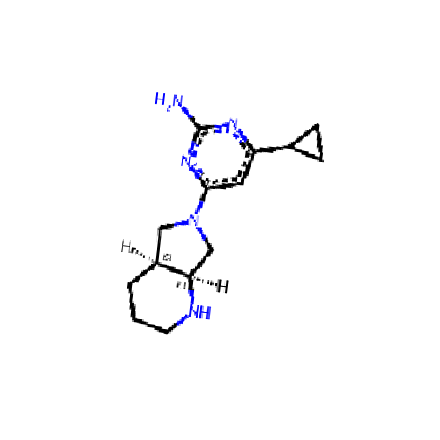 Nc1nc(C2CC2)cc(N2C[C@@H]3CCCN[C@@H]3C2)n1